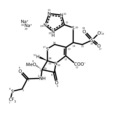 CO[C@@]1(NC(=O)CSC(F)(F)F)C(=O)N2C(C(=O)[O-])=C(C(CS(=O)(=O)[O-])Sc3nnn[nH]3)CS[C@H]21.[Na+].[Na+]